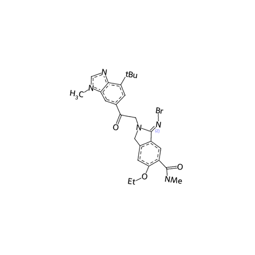 CCOc1cc2c(cc1C(=O)NC)/C(=N/Br)N(CC(=O)c1cc(C(C)(C)C)c3ncn(C)c3c1)C2